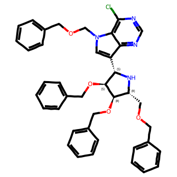 Clc1ncnc2c([C@@H]3N[C@H](COCc4ccccc4)[C@@H](OCc4ccccc4)[C@H]3OCc3ccccc3)cn(COCc3ccccc3)c12